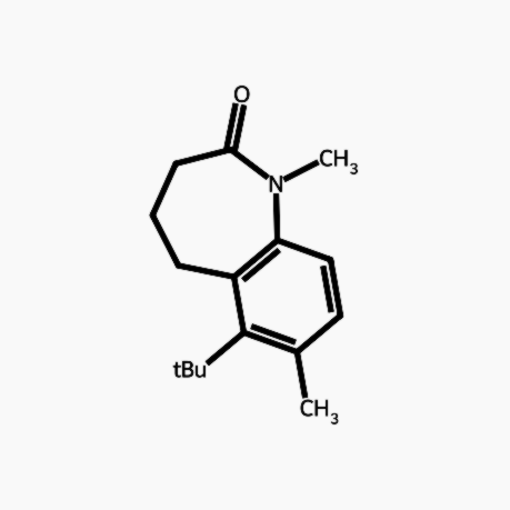 Cc1ccc2c(c1C(C)(C)C)CCCC(=O)N2C